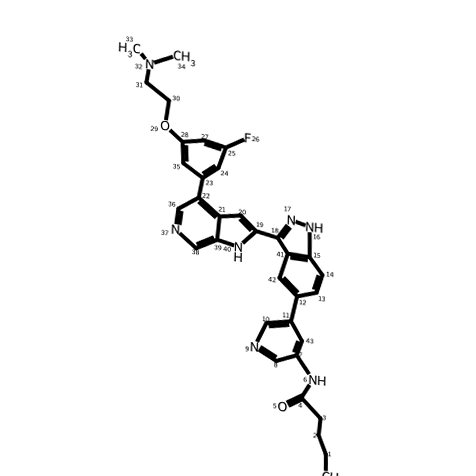 CCCCC(=O)Nc1cncc(-c2ccc3[nH]nc(-c4cc5c(-c6cc(F)cc(OCCN(C)C)c6)cncc5[nH]4)c3c2)c1